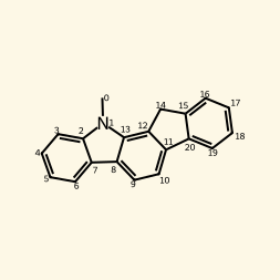 Cn1c2ccccc2c2ccc3c(c21)Cc1ccccc1-3